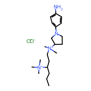 CCCC(CC[N+](C)(C)C1CCN(c2ccc(N)cc2)C1)[N+](C)(C)C.[Cl-].[Cl-]